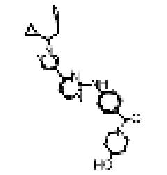 N#CCC(C1CC1)n1cc(-c2ccnc(Nc3ccc(C(=O)N4CCC(O)CC4)cc3)n2)cn1